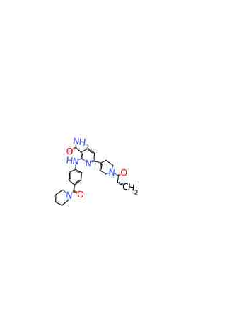 C=CC(=O)N1CC=C(c2ccc(C(N)=O)c(Nc3ccc(C(=O)N4CCCCC4)cc3)n2)CC1